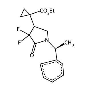 CCOC(=O)C1(C2CN([C@@H](C)c3ccccc3)C(=O)C2(F)F)CC1